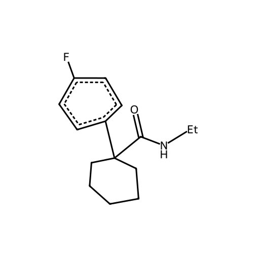 CCNC(=O)C1(c2ccc(F)cc2)CCCCC1